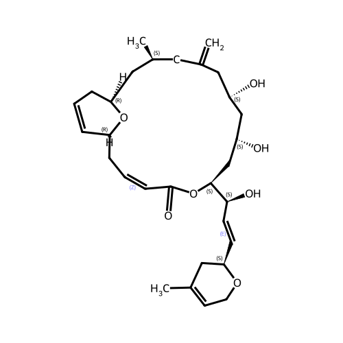 C=C1C[C@H](C)C[C@@H]2CC=C[C@@H](C/C=C\C(=O)O[C@H]([C@@H](O)/C=C/[C@@H]3CC(C)=CCO3)C[C@@H](O)C[C@@H](O)C1)O2